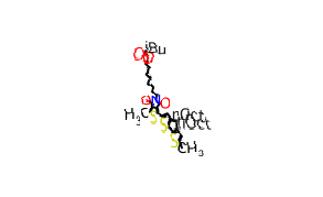 CCCCCCCCC1(CCCCCCCC)c2cc(C)sc2-c2sc(-c3sc(C)c4c3C(=O)N(CCCCCCCCOC(=O)C(C)CC)C4=O)cc21